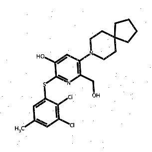 Cc1cc(Cl)c(Cl)c(Sc2nc(CO)c(N3CCC4(CCCC4)CC3)cc2O)c1